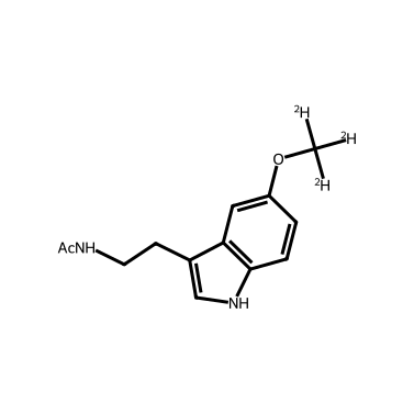 [2H]C([2H])([2H])Oc1ccc2[nH]cc(CCNC(C)=O)c2c1